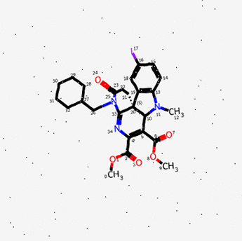 COC(=O)C1=C(C(=O)OC)C2N(C)c3ccc(I)cc3[C@@]23CCC(=O)N(CC2CCCCC2)C3=N1